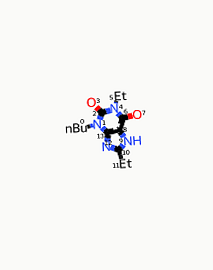 CCCCn1c(=O)n(CC)c(=O)c2[nH]c(CC)nc21